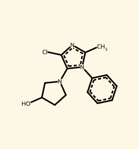 Cc1nc(Cl)c(N2CCC(O)C2)n1-c1ccccc1